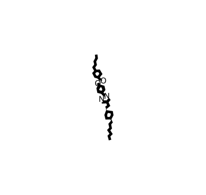 CCCCCCC[C@H]1CC[C@H](CCc2cnc(-c3ccc(OC(=O)C4CCC(CCCCC)CC4)cc3)nc2)CC1